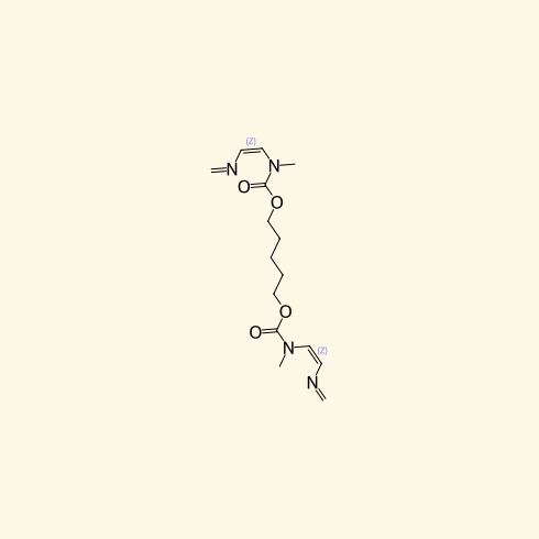 C=N/C=C\N(C)C(=O)OCCCCCOC(=O)N(C)/C=C\N=C